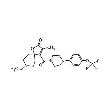 CCN1CCC2(CC1)OC(=O)C(C)=C2C(=O)N1CCN(c2ccc(OC(F)(F)F)cc2)CC1